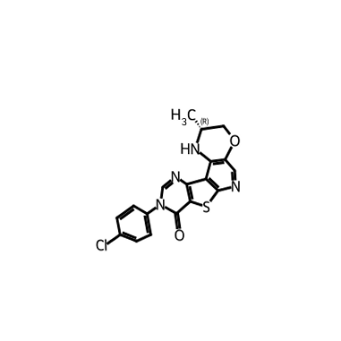 C[C@@H]1COc2cnc3sc4c(=O)n(-c5ccc(Cl)cc5)cnc4c3c2N1